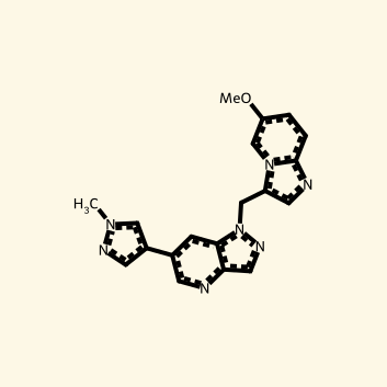 COc1ccc2ncc(Cn3ncc4ncc(-c5cnn(C)c5)cc43)n2c1